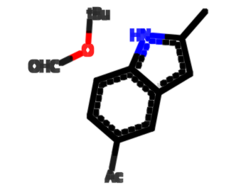 CC(=O)c1ccc2[nH]c(C)cc2c1.CC(C)(C)OC=O